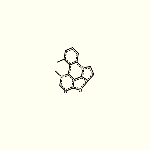 Cc1cccc2c1c1c3c(nc[n+]1C)oc1ccn2c13